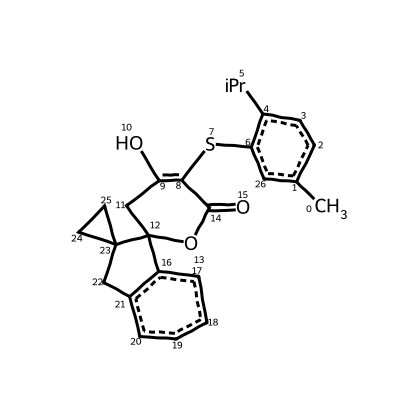 Cc1ccc(C(C)C)c(SC2=C(O)CC3(OC2=O)c2ccccc2CC32CC2)c1